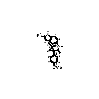 C=C(Nc1ccc2[nH]c(C(C)(C)C)cc2c1)C1(c2ccc(OC)cc2)CC1(C)C